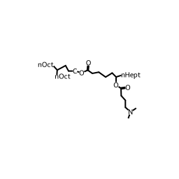 CCCCCCCCC(CCCCCCCC)CCCOC(=O)CCCCC(CCCCCCC)OC(=O)CCCN(C)C